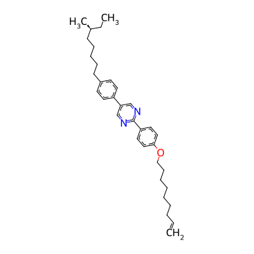 C=CCCCCCCCOc1ccc(-c2ncc(-c3ccc(CCCCC[C@@H](C)CC)cc3)cn2)cc1